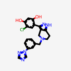 Oc1cc(O)c(-c2n[nH]c3c2CN(Cc2cccc(-n4cncn4)c2)CC3)cc1Cl